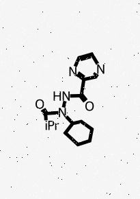 CC(C)C(=O)N(NC(=O)c1cnccn1)C1CCCCC1